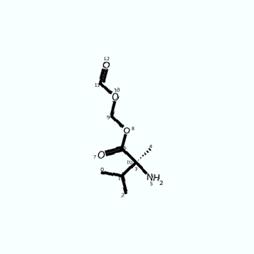 CC(C)[C@](C)(N)C(=O)OCOC=O